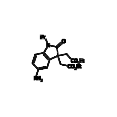 CCOC(=O)CC1(CC(=O)OCC)C(=O)N(C(C)C)c2ccc(N)cc21